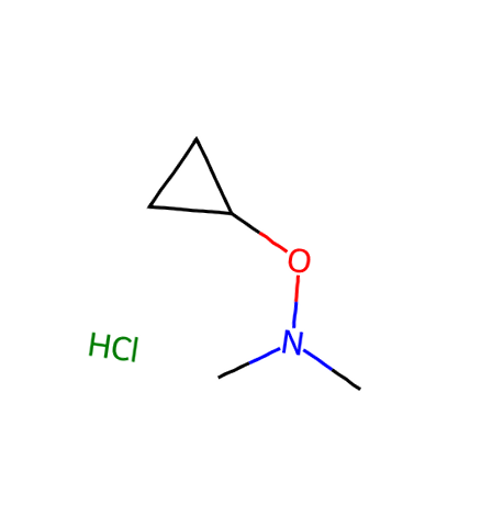 CN(C)OC1CC1.Cl